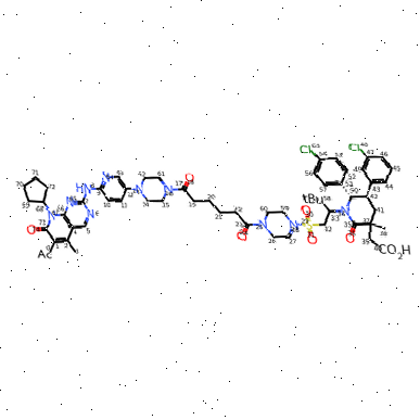 CC(=O)c1c(C)c2cnc(Nc3ccc(N4CCN(C(=O)CCCCC(=O)N5CCN(S(=O)(=O)CC(N6C(=O)[C@@](C)(CC(=O)O)C[C@H](c7cccc(Cl)c7)[C@H]6c6ccc(Cl)cc6)C(C)(C)C)CC5)CC4)cn3)nc2n(C2CCCC2)c1=O